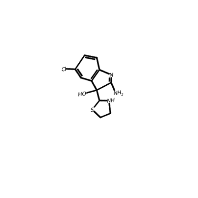 NC1=Nc2ccc(Cl)cc2C1(O)C1NCCS1